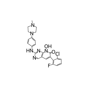 CN1CCN(c2ccc(Nc3ncc4cc(-c5c(F)cccc5Cl)c(=O)n(O)c4n3)cc2)CC1